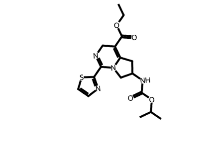 CCOC(=O)C1=C2CC(NC(=O)OC(C)C)CN2C(c2nccs2)=NC1